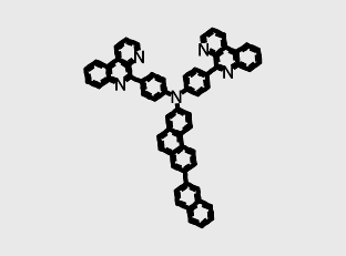 c1ccc2cc(-c3ccc4c(ccc5cc(N(c6ccc(-c7nc8ccccc8c8cccnc78)cc6)c6ccc(-c7nc8ccccc8c8cccnc78)cc6)ccc54)c3)ccc2c1